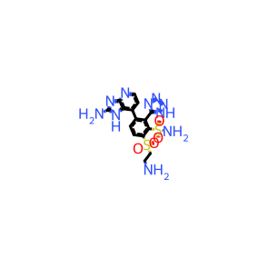 NCCS(=O)(=O)c1ccc(-c2ccnc3nc(N)[nH]c23)c(-c2nnn[nH]2)c1S(N)(=O)=O